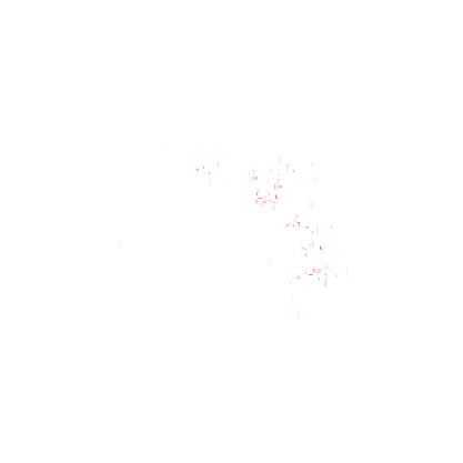 CCCCCCCC/C=C\CCCCCCCCCCCCCCCC(=O)N[C@@H](CO[C@@H]1OC(CO)[C@@H](O[C@@H]2OC(CO)[C@H](O)[C@H](O[C@@H]3OC(CO)[C@@H](O[C@@H]4OC(CO)[C@H](O)[C@H](O[C@@H]5OC(CO)[C@@H](O[C@@H]6OC(CO)[C@H](O)[C@H](O[C@]7(C(=O)O)CC(O)[C@@H](NC(=O)CO)C([C@H](O)[C@H](O)CO)O7)C6O)[C@H](O)C5NC(C)=O)C4O)[C@H](O)C3NC(C)=O)C2O)[C@H](O)C1O)[C@H](O)/C=C/CCCCCCCCCCCCC